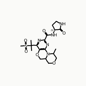 CC1COCC2COc3c(nc(C(=O)N[C@H]4CCNC4=O)nc3C(C)(C)S(C)(=O)=O)N12